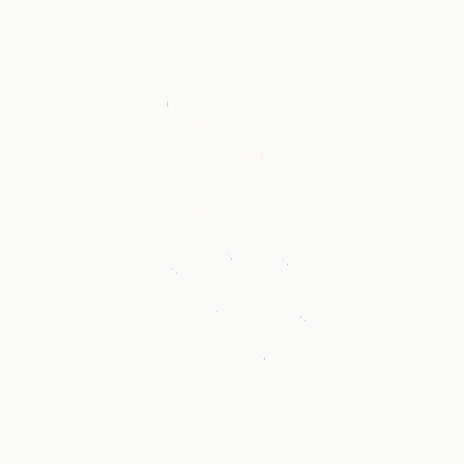 CC(C)OC[C@H]1O[C@@H](n2c(N)nc3c(N)ncnc32)CC1O